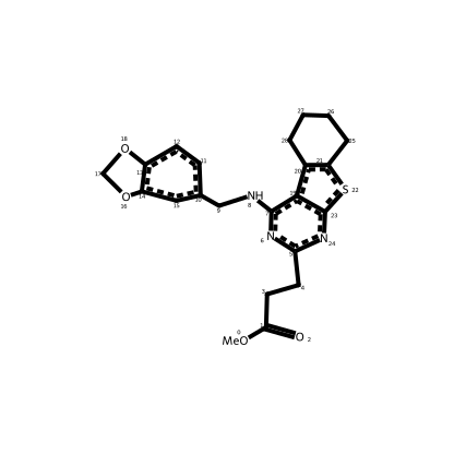 COC(=O)CCc1nc(NCc2ccc3c(c2)OCO3)c2c3c(sc2n1)CCCC3